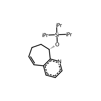 CC(C)[Si](O[C@H]1CCC=Cc2cccnc21)(C(C)C)C(C)C